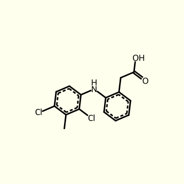 Cc1c(Cl)ccc(Nc2ccccc2CC(=O)O)c1Cl